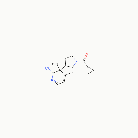 CC1=CC=NC(N)C1(C1CCN(C(=O)C2CC2)C1)[N+](=O)[O-]